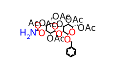 CC(=O)OC[C@@H]1O[C@@H](O[C@@H]2[C@@H](OCc3ccccc3)O[C@@H](COC(C)=O)[C@@H](OC(C)=O)[C@@H]2OC(C)=O)[C@H](OC(C)=O)[C@H](OC(N)=O)[C@H]1OC(C)=O